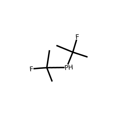 CC(C)(F)PC(C)(C)F